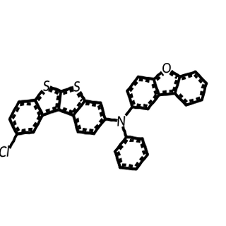 Clc1ccc2sc3sc4cc(N(c5ccccc5)c5ccc6oc7ccccc7c6c5)ccc4c3c2c1